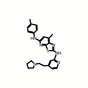 Cc1ccc(Nc2cc(C)c3nc(Nc4cc(CCN5CCCC5)ccn4)sc3n2)cc1